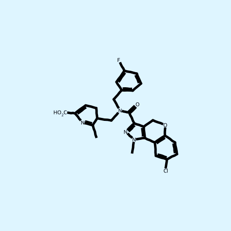 CC1=NC(C(=O)O)=CCC1CN(Cc1cccc(F)c1)C(=O)c1nn(C)c2c1COc1ccc(Cl)cc1-2